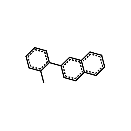 [CH2]c1ccccc1-c1ccc2ccccc2c1